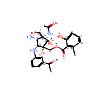 CC(=O)N[C@@]1([C@@H](C)O)[C@@H](N)[C@H](Nc2cccc(C(C)=O)c2)[C@](O)(COC(=O)c2c(C)cccc2O)[C@]1(C)O